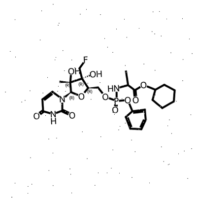 CC(NP(=O)(OC[C@H]1O[C@@H](n2ccc(=O)[nH]c2=O)[C@](C)(O)[C@@]1(O)CF)Oc1ccccc1)C(=O)OC1CCCCC1